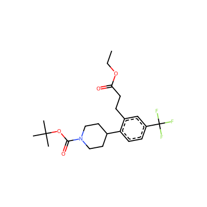 CCOC(=O)CCc1cc(C(F)(F)F)ccc1C1CCN(C(=O)OC(C)(C)C)CC1